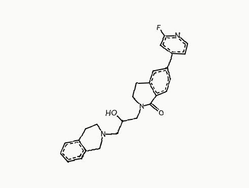 O=C1c2ccc(-c3ccnc(F)c3)cc2CCN1CC(O)CN1CCc2ccccc2C1